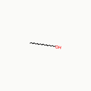 CCC=CCC=CCC=CCC=CCCCCCO